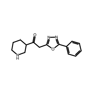 O=C(Cc1nnc(-c2ccccc2)o1)C1[CH]CCNC1